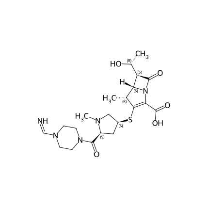 C[C@@H](O)[C@H]1C(=O)N2C(C(=O)O)=C(S[C@H]3C[C@@H](C(=O)N4CCN(C=N)CC4)N(C)C3)[C@H](C)[C@H]12